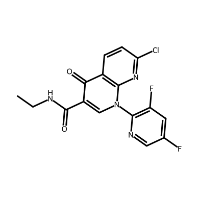 CCNC(=O)c1cn(-c2ncc(F)cc2F)c2nc(Cl)ccc2c1=O